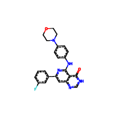 O=c1[nH]cnc2cc(-c3cccc(F)c3)nc(Nc3ccc(N4CCOCC4)cc3)c12